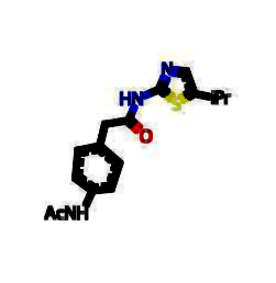 CC(=O)Nc1ccc(CC(=O)Nc2ncc(C(C)C)s2)cc1